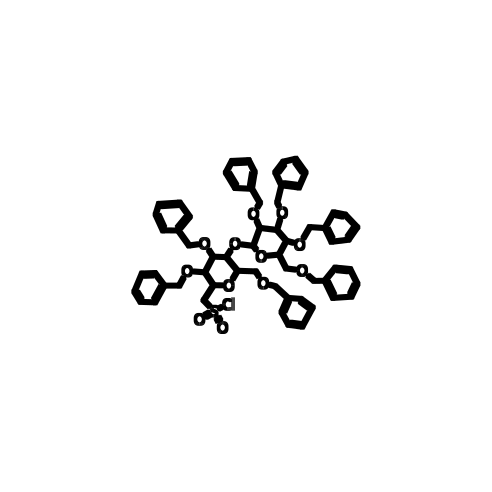 O=S(=O)(Cl)CC1OC(COCc2ccccc2)C(OC2OC(COCc3ccccc3)C(OCc3ccccc3)C(OCc3ccccc3)C2OCc2ccccc2)C(OCc2ccccc2)C1OCc1ccccc1